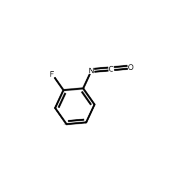 O=C=Nc1cc[c]cc1F